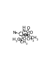 CC[C@H](C)Nc1c(Nc2cc(C#N)cc(C(=O)N(C)C)c2O)c(=O)c1=O